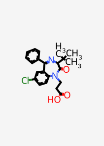 CC(C)(C)C1N=C(c2ccccc2)c2cc(Cl)ccc2N(CCC(=O)O)C1=O